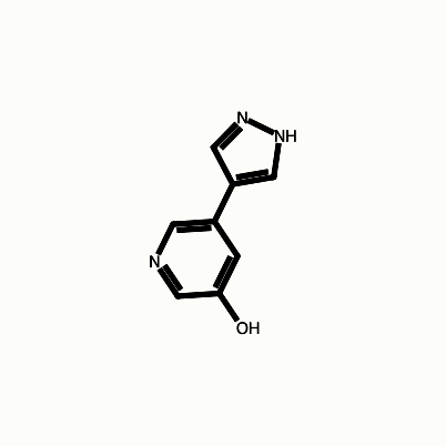 Oc1cncc(-c2cn[nH]c2)c1